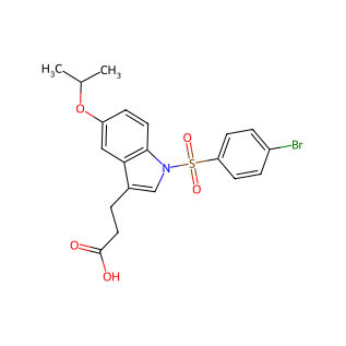 CC(C)Oc1ccc2c(c1)c(CCC(=O)O)cn2S(=O)(=O)c1ccc(Br)cc1